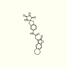 O=C(Cn1c(=O)oc2cc3c(cc21)CCCC3)Nc1ccc2c(c1)CC1(C2)NC(=O)NC1=O